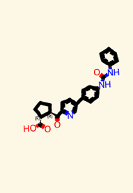 O=C(Nc1ccccc1)Nc1ccc(-c2ccc(C(=O)[C@@H]3CCC[C@H]3C(=O)O)nc2)cc1